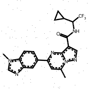 Cc1cc(-c2ccc3c(c2)ncn3C)nc2c(C(=O)NC(C3CC3)C(F)(F)F)cnn12